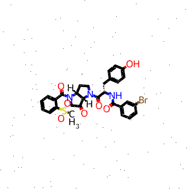 CS(=O)(=O)c1ccccc1C(=O)N1CC(=O)[C@@H]2[C@H]1CCN2C(=O)[C@H](Cc1ccc(O)cc1)NC(=O)c1cccc(Br)c1